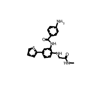 CNC(=O)CNc1ccc(-c2cccs2)cc1NC(=O)c1ccc(N)cc1